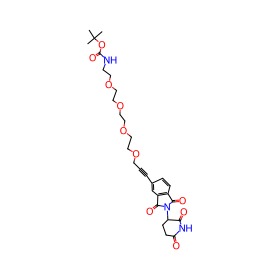 CC(C)(C)OC(=O)NCCOCCOCCOCCOCC#Cc1ccc2c(c1)C(=O)N(C1CCC(=O)NC1=O)C2=O